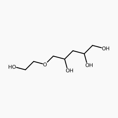 OCCOCC(O)CC(O)CO